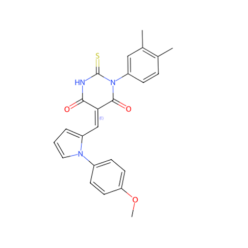 COc1ccc(-n2cccc2/C=C2\C(=O)NC(=S)N(c3ccc(C)c(C)c3)C2=O)cc1